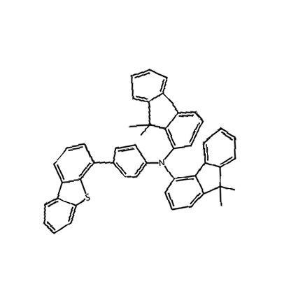 CC1(C)c2ccccc2-c2c(N(c3ccc(-c4cccc5c4sc4ccccc45)cc3)c3cccc4c3C(C)(C)c3ccccc3-4)cccc21